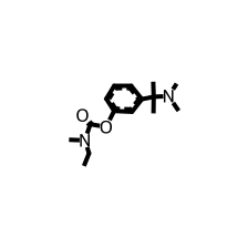 CCN(C)C(=O)Oc1cccc(C(C)(C)N(C)C)c1